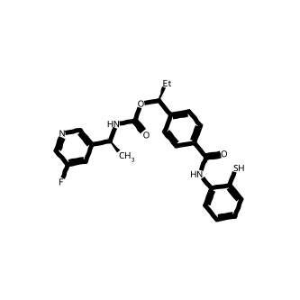 CC[C@H](OC(=O)N[C@@H](C)c1cncc(F)c1)c1ccc(C(=O)Nc2ccccc2S)cc1